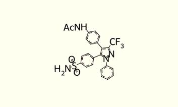 CC(=O)Nc1ccc(-c2c(C(F)(F)F)nn(-c3ccccc3)c2-c2ccc(S(N)(=O)=O)cc2)cc1